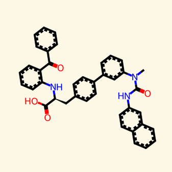 CN(C(=O)Nc1ccc2ccccc2c1)c1cccc(-c2ccc(C[C@H](Nc3ccccc3C(=O)c3ccccc3)C(=O)O)cc2)c1